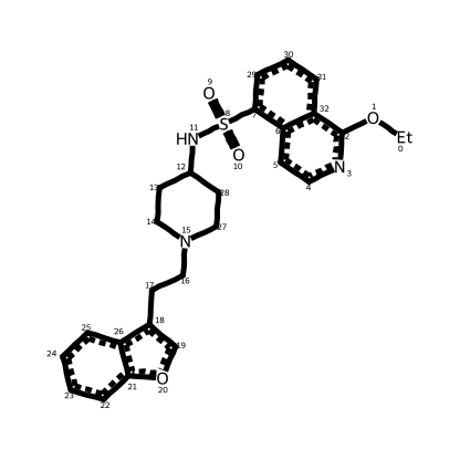 CCOc1nccc2c(S(=O)(=O)NC3CCN(CCc4coc5ccccc45)CC3)cccc12